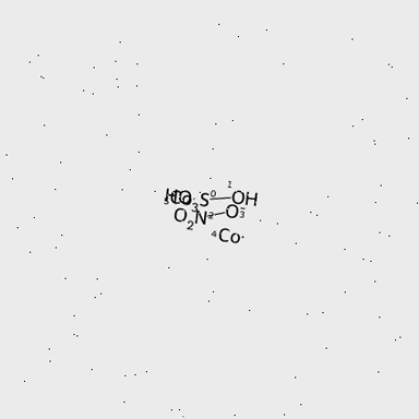 O=S(=O)(O)O.O=[N+]([O-])[O-].[Co].[Co]